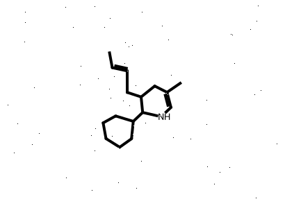 C/C=C/CC1CC(C)=CNC1C1CCCCC1